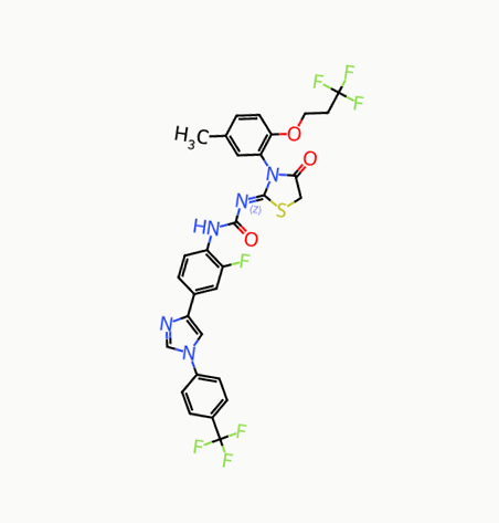 Cc1ccc(OCCC(F)(F)F)c(N2C(=O)CS/C2=N\C(=O)Nc2ccc(-c3cn(-c4ccc(C(F)(F)F)cc4)cn3)cc2F)c1